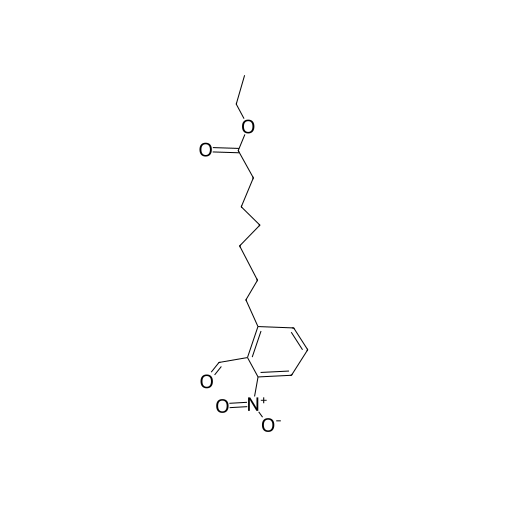 CCOC(=O)CCCCCCc1cccc([N+](=O)[O-])c1C=O